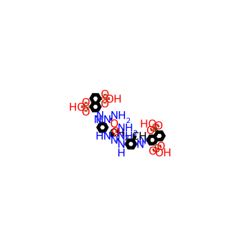 C=C(/N=C(\NC(N)=O)Nc1ccc(/N=N/c2cc(S(=O)(=O)O)c3cccc(S(=O)(=O)O)c3c2)c(C)c1)Nc1ccc(/N=N/c2cc(S(=O)(=O)O)c3cccc(S(=O)(=O)O)c3c2)c(NC(N)=O)c1